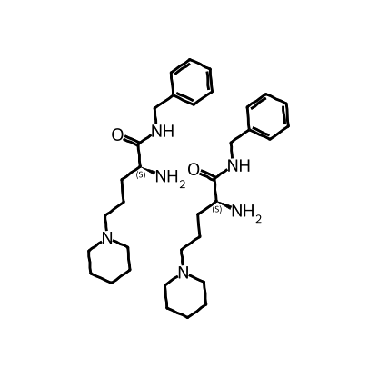 N[C@@H](CCCN1CCCCC1)C(=O)NCc1ccccc1.N[C@@H](CCCN1CCCCC1)C(=O)NCc1ccccc1